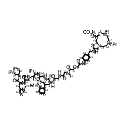 CC/C=C(/C[C@H](NC(=O)CNC(=O)CN(I)C(=O)COCC(=O)Nc1ccc(CNC(=O)CN2CCN(CCC)CCN(CC)CCN(CC(=O)O)CC2)cc1)C(=O)NCC(=O)NC(C(=O)NCC(=O)N[C@@H](Cc1cncn1C)C(=O)NC(CC(C)C)CC(C)C)C(C)C)c1ccccc1NC